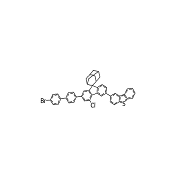 Clc1cc(-c2ccc(-c3ccc(Br)cc3)cc2)cc2c1-c1cc(-c3ccc4sc5ccccc5c4c3)ccc1C21C2CC3CC(C2)CC1C3